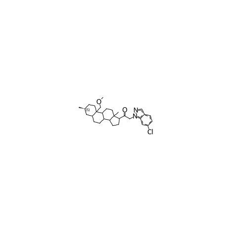 COCC12CC[C@H](C)CC1CCC1C3CCC(C(=O)Cn4ncc5ccc(Cl)cc54)C3(C)CCC12